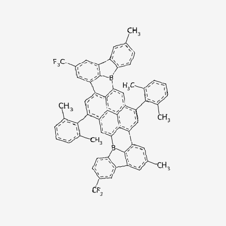 Cc1ccc2c(c1)-c1cc(C(F)(F)F)cc3c1B2c1cc2c(-c4c(C)cccc4C)cc4c5c(cc6c(-c7c(C)cccc7C)cc-3c1c6c25)B1c2ccc(C(F)(F)F)cc2-c2cc(C)cc-4c21